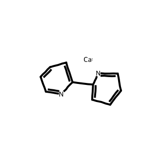 [Ca].c1ccc(-c2ccccn2)nc1